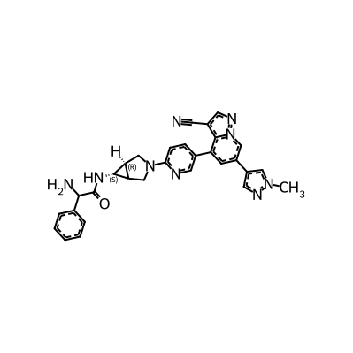 Cn1cc(-c2cc(-c3ccc(N4CC5[C@H](C4)[C@H]5NC(=O)C(N)c4ccccc4)nc3)c3c(C#N)cnn3c2)cn1